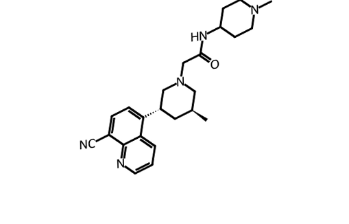 C[C@H]1C[C@H](c2ccc(C#N)c3ncccc23)CN(CC(=O)NC2CCN(C)CC2)C1